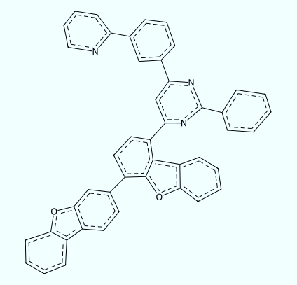 c1ccc(-c2nc(-c3cccc(-c4ccccn4)c3)cc(-c3ccc(-c4ccc5c(c4)oc4ccccc45)c4oc5ccccc5c34)n2)cc1